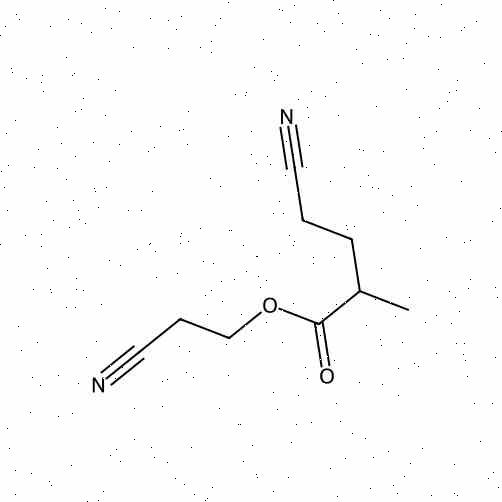 CC(CCC#N)C(=O)OCCC#N